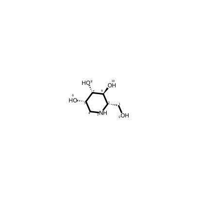 OC[C@@H]1NC[C@H](O)[C@H](O)[C@H]1O